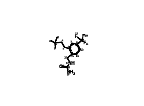 CC(C)(C)CCc1cc(C(F)(F)F)ccc1CNC(N)=O